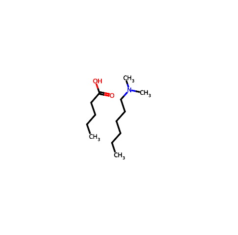 CCCCC(=O)O.CCCCCCN(C)C